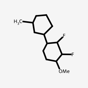 COC1CCC(C2CCCC(C)C2)C(F)C1F